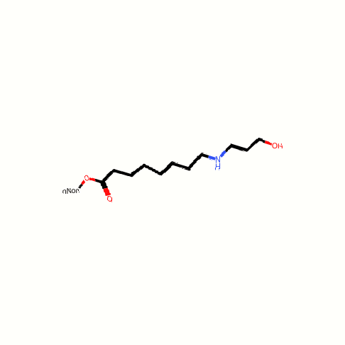 CCCCCCCCCOC(=O)CCCCCCCNCCCO